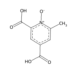 Cc1cc(C(=O)O)cc(C(=O)O)[n+]1[O-]